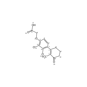 CC1=C(c2ccc(OCC(=O)O)c(Cl)c2Cl)CCCC1=O